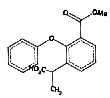 COC(=O)c1cccc(C(C)C(=O)O)c1Oc1ccccc1